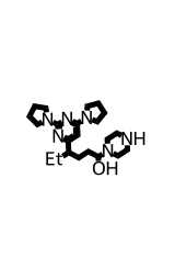 CCC(CCC(O)N1CCNCC1)c1cc(N2CCCC2)nc(N2CCCC2)n1